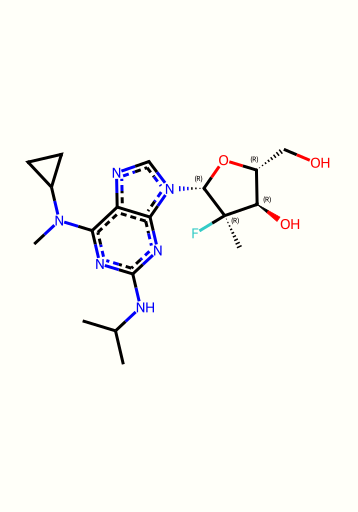 CC(C)Nc1nc(N(C)C2CC2)c2ncn([C@@H]3O[C@H](CO)[C@@H](O)[C@@]3(C)F)c2n1